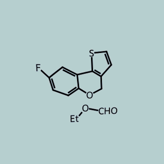 CCOC=O.Fc1ccc2c(c1)-c1sccc1CO2